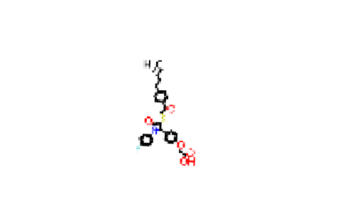 CCCCCc1ccc(C(=O)CSC2C(=O)N(c3ccc(F)cc3)C2c2ccc(OCC(=O)O)cc2)cc1